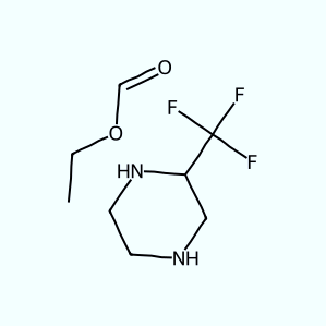 CCOC=O.FC(F)(F)C1CNCCN1